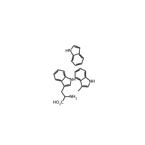 Cc1c[nH]c2ccccc12.NC(Cc1c[nH]c2ccccc12)C(=O)O.c1ccc2[nH]ccc2c1